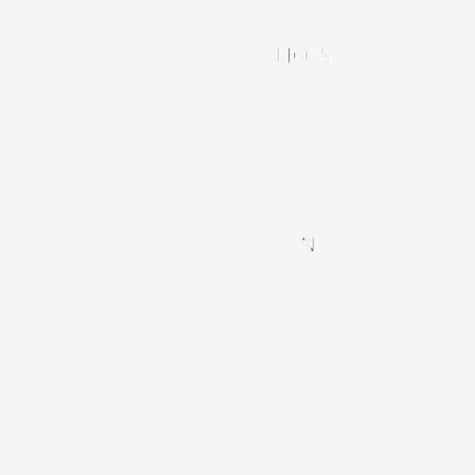 C=Cc1ccc([N+](C)(C)CCCS(=O)(=O)O)cc1